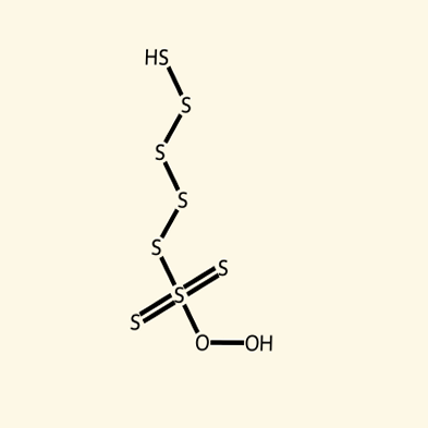 OOS(=S)(=S)SSSSS